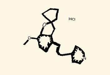 COc1ccc(/C=C/c2ccncc2)c2c1OC1(CCCC1)C2.Cl